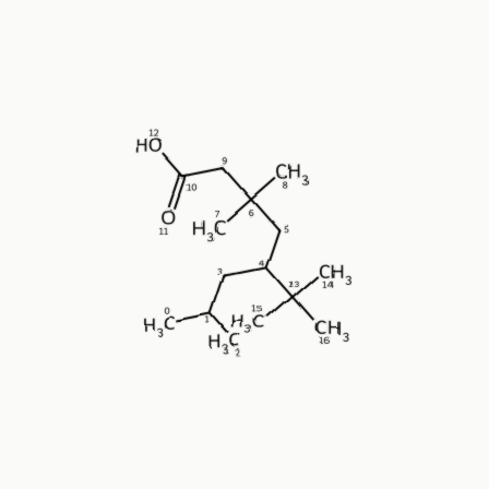 CC(C)CC(CC(C)(C)CC(=O)O)C(C)(C)C